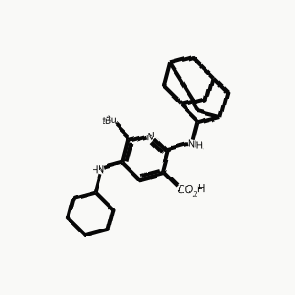 CC(C)(C)c1nc(NC2C3CC4CC(C3)CC2C4)c(C(=O)O)cc1NC1CCCCC1